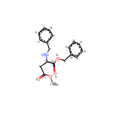 CC(C)(C)OC(=O)CC(NCc1ccccc1)C(=O)OCc1ccccc1